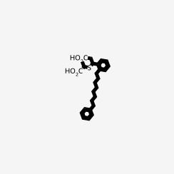 CC(SC(CC(=O)O)c1ccccc1CCCCCCCCc1ccccc1)C(=O)O